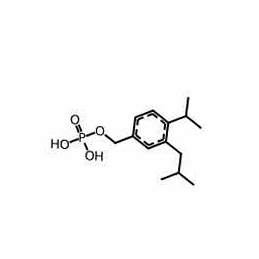 CC(C)Cc1cc(COP(=O)(O)O)ccc1C(C)C